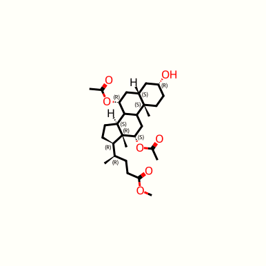 COC(=O)CC[C@@H](C)[C@H]1CC[C@H]2C3C(C[C@H](OC(C)=O)[C@]12C)[C@@]1(C)CC[C@@H](O)C[C@H]1C[C@H]3OC(C)=O